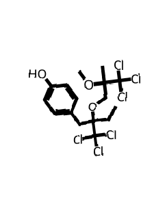 CCC(Cc1ccc(O)cc1)(OCC(C)(OC)C(Cl)(Cl)Cl)C(Cl)(Cl)Cl